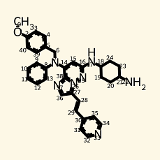 COc1ccc(CN(c2ccccc2)c2cc(NC3CCC(N)CC3)nn3c(C=Cc4ccncc4)cnc23)cc1